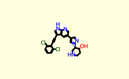 OC1CCNCC1n1cc(-c2cnc3[nH]cc(C#Cc4c(Cl)cccc4Cl)c3c2)cn1